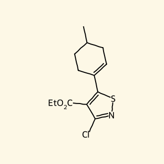 CCOC(=O)c1c(Cl)nsc1C1=CCC(C)CC1